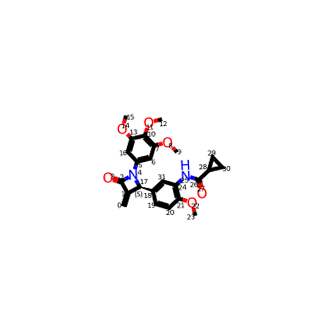 C=C1C(=O)N(c2cc(OC)c(OC)c(OC)c2)[C@H]1c1ccc(OC)c(NC(=O)C2CC2)c1